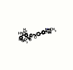 CCN(C(=O)[C@@H]1CCN(CC(=O)N2CC=C(c3ccc(C(=N)/N=C\NC)cc3)CC2)C1)c1ccc(N)c(C(=N)c2ccnc(C)c2)c1